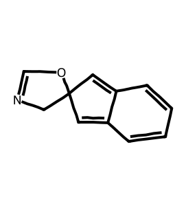 C1=NCC2(C=c3ccccc3=C2)O1